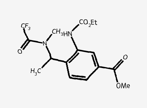 CCOC(=O)Nc1cc(C(=O)OC)ccc1C(C)N(C)C(=O)C(F)(F)F